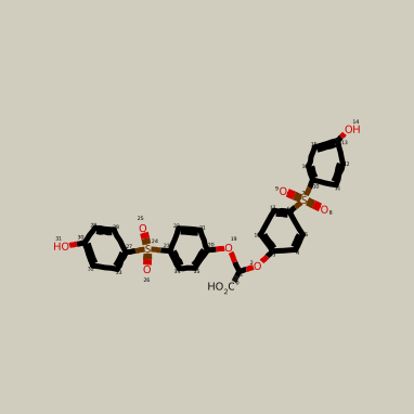 O=C(O)C(Oc1ccc(S(=O)(=O)c2ccc(O)cc2)cc1)Oc1ccc(S(=O)(=O)c2ccc(O)cc2)cc1